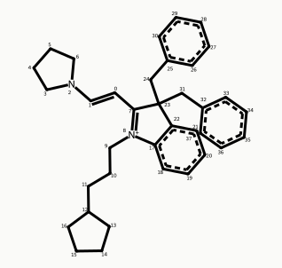 C(=C\N1CCCC1)/C1=[N+](CCCC2CCCC2)c2ccccc2C1(Cc1ccccc1)Cc1ccccc1